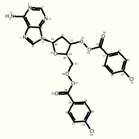 Nc1ncnc2c1ncn2[C@H]1CC(OOC(=O)c2ccc(Cl)cc2)[C@@H](COOC(=O)c2ccc(Cl)cc2)O1